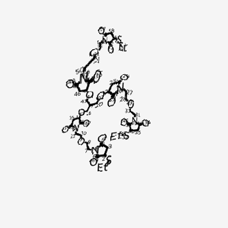 CCSC1CC(=O)N(CCOCCN2C(=O)CC(OCC(COC3CC(=O)N(CCOCCN4C(=O)CC(SCC)C4=O)C3=O)COC3CC(=O)N(CCOCCN4C(=O)CC(SCC)C4=O)C3=O)C2=O)C1=O